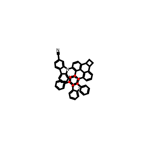 N#Cc1ccc2c3ccccc3n(-c3ccc4c(c3-c3nc(-c5ccccc5)nc(-c5ccccc5)n3)-c3c(-c5cccc6c5oc5ccccc56)cccc3C3CCC43)c2c1